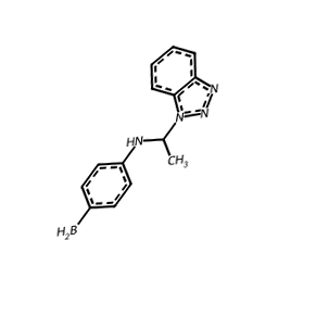 Bc1ccc(NC(C)n2nnc3ccccc32)cc1